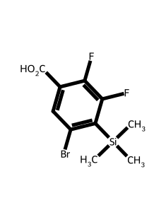 C[Si](C)(C)c1c(Br)cc(C(=O)O)c(F)c1F